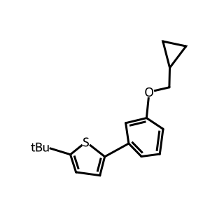 CC(C)(C)c1ccc(-c2cccc(OCC3CC3)c2)s1